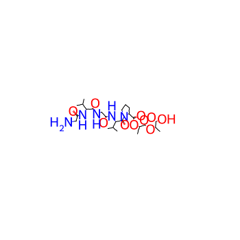 CC(OC(=O)C(C)OC(=O)C1CCCN1C(=O)C(NC(=O)CNC(=O)C(NC(=O)CN)C(C)C)C(C)C)C(=O)O